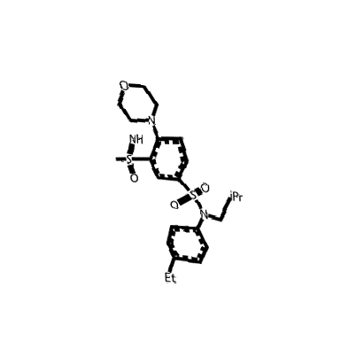 CCc1ccc(N(CC(C)C)S(=O)(=O)c2ccc(N3CCOCC3)c(S(C)(=N)=O)c2)cc1